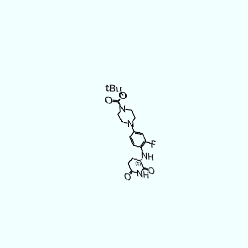 CC(C)(C)OC(=O)N1CCN(c2ccc(N[C@H]3CCC(=O)NC3=O)c(F)c2)CC1